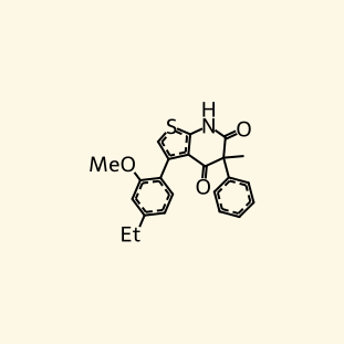 CCc1ccc(-c2csc3c2C(=O)C(C)(c2ccccc2)C(=O)N3)c(OC)c1